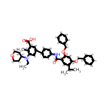 CCN(c1cc(-c2ccc(NC(=O)c3cc(C(C)C)c(OCc4ccccc4)cc3OCc3ccccc3)cc2)cc(C(=O)O)c1C)C1CCOCC1